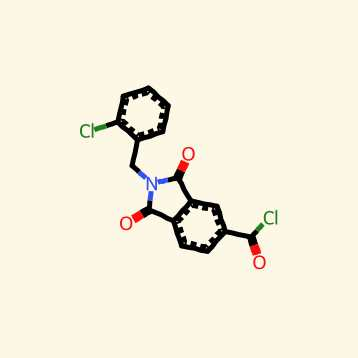 O=C(Cl)c1ccc2c(c1)C(=O)N(Cc1ccccc1Cl)C2=O